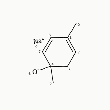 CC1=CCC(C)([O-])C=C1.[Na+]